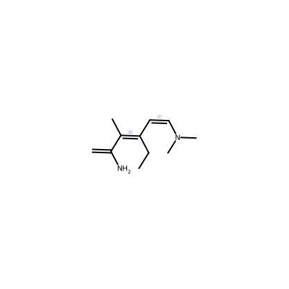 C=C(N)/C(C)=C(/C=C\N(C)C)CC